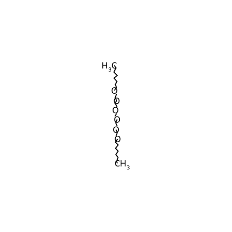 CCCCCCCCOCCOCCOCCOCCOCCOCCCCCCCC